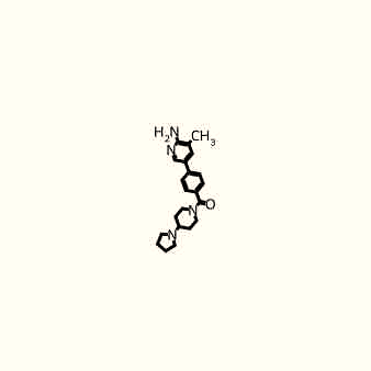 Cc1cc(-c2ccc(C(=O)N3CCC(N4CCCC4)CC3)cc2)cnc1N